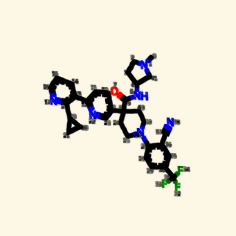 CN1CCC(NC(=O)C2(c3ccc(-c4cccnc4C4CC4)nc3)CCN(c3ccc(C(F)(F)F)cc3C#N)CC2)C1